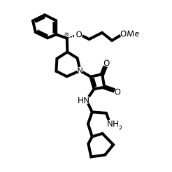 COCCCO[C@@H](c1ccccc1)C1CCCN(c2c(NC(CN)CC3CCCCC3)c(=O)c2=O)C1